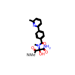 CNC(=O)C(O)(C(N)=O)N(C)C(=O)c1ccc(-c2cccc(C)n2)cc1